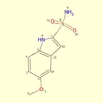 COc1ccc2[nH]c(S(N)(=O)=O)cc2c1